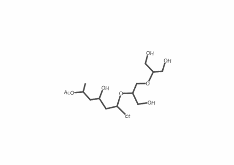 CCC(CC(O)CC(C)OC(C)=O)OC(CO)COC(CO)CO